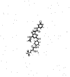 CS(=O)(=O)CC[C@H](N)C(=O)NC1CCC(Nc2cc(NC3CC3)c3ncc(C(=O)Nc4ccnc(Cl)c4)n3n2)CC1